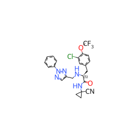 N#CC1(NC(=O)[C@H](Cc2ccc(OC(F)(F)F)c(Cl)c2)NCc2cnn(-c3ccccc3)n2)CC1